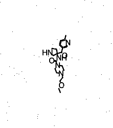 CCOCCN1CCN(C(=O)N[C@]2(C(=O)c3ccc(C)nc3)CCNC2)CC1